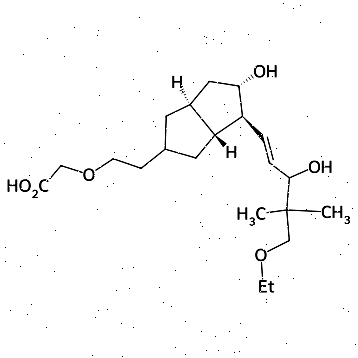 CCOCC(C)(C)C(O)C=C[C@H]1[C@@H]2CC(CCOCC(=O)O)C[C@H]2C[C@@H]1O